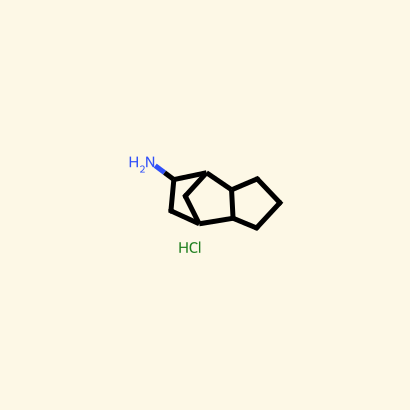 Cl.NC1CC2CC1C1CCCC21